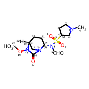 CN1CC[C@H](S(=O)(=O)N(C=O)[C@H]2CC[C@@H]3CN2C(=O)N3OS(=O)(=O)O)C1